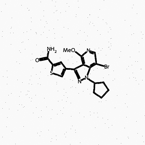 COc1ncc(Br)c2c1c(-c1csc(C(N)=O)c1)nn2C1CCCC1